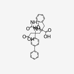 NC(=O)NC(CC(=O)O)(C[C@@](O)(Cc1ccccc1)C(=O)O)c1ccc(-c2ccccc2)cc1